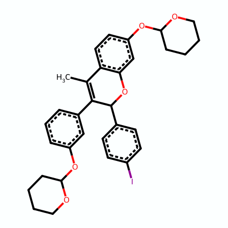 CC1=C(c2cccc(OC3CCCCO3)c2)C(c2ccc(I)cc2)Oc2cc(OC3CCCCO3)ccc21